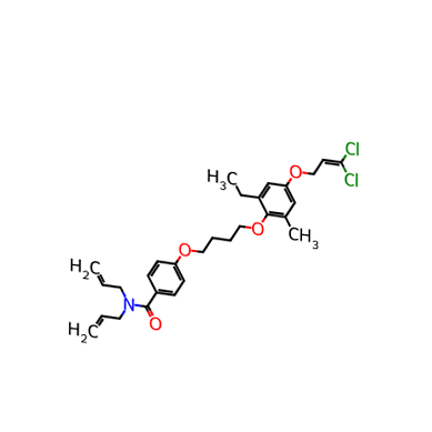 C=CCN(CC=C)C(=O)c1ccc(OCCCCOc2c(C)cc(OCC=C(Cl)Cl)cc2CC)cc1